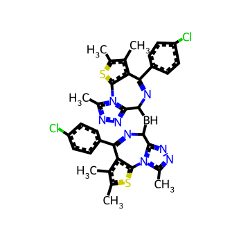 Cc1sc2c(c1C)C(c1ccc(Cl)cc1)=NC(BC1N=C(c3ccc(Cl)cc3)c3c(sc(C)c3C)-n3c(C)nnc31)c1nnc(C)n1-2